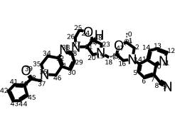 C[C@@H]1CN(c2ccc(C#N)c3ncccc23)C[C@H](CN2CC3[C@@H](C2)OCCN3c2ccc3c(n2)CCN(CC(=O)c2ccccc2)C3)O1